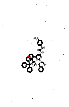 Cc1ccc(NC(=O)Nc2cc(-c3ccccc3-c3nnnn3C(c3ccccc3)(c3ccccc3)c3ccccc3)nc(N(Cc3ccccc3)CC(C)C)n2)cc1